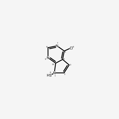 Sn1ccc2c(Cl)ncnc21